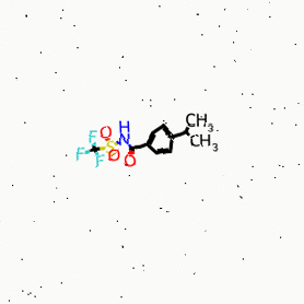 CC(C)c1ccc(C(=O)NS(=O)(=O)C(F)(F)F)cc1